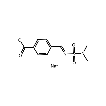 CN(C)S(=O)(=O)N=Cc1ccc(C(=O)[O-])cc1.[Na+]